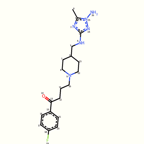 Cc1nc(NCC2CCN(CCCC(=O)c3ccc(F)cc3)CC2)nn1N